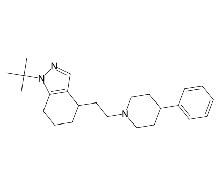 CC(C)(C)n1ncc2c1CCCC2CCN1CCC(c2ccccc2)CC1